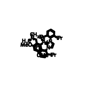 COc1cc(OC)c(CN(C)C)[c]([Pd]([Cl])=[c]2n(-c3c(C(C)C)cccc3C(C)C)ccn2-c2c(C(C)C)cccc2C(C)C)c1